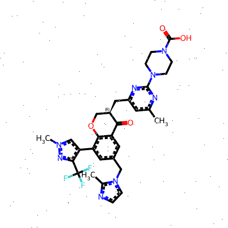 Cc1cc(C[C@@H]2COc3c(cc(Cn4ccnc4C)cc3-c3cn(C)nc3C(F)(F)F)C2=O)nc(N2CCN(C(=O)O)CC2)n1